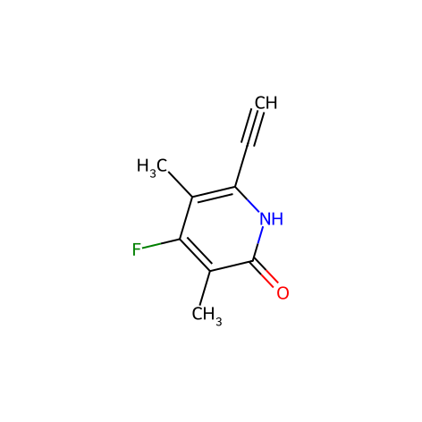 C#Cc1[nH]c(=O)c(C)c(F)c1C